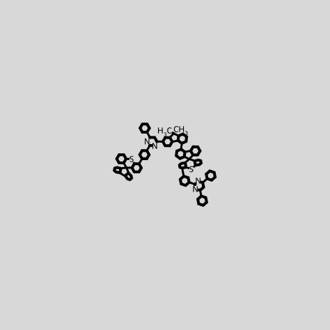 CC1(C)c2cc(-c3cc(-c4ccccc4)nc(-c4ccc(-c5cccc6c5Sc5ccccc5C65c6ccccc6-c6ccccc65)cc4)n3)ccc2-c2c(-c3cccc4c3-c3ccccc3C43c4ccccc4Sc4c(-c5cccc(-c6nc(-c7ccccc7)cc(-c7ccccc7)n6)c5)cccc43)cccc21